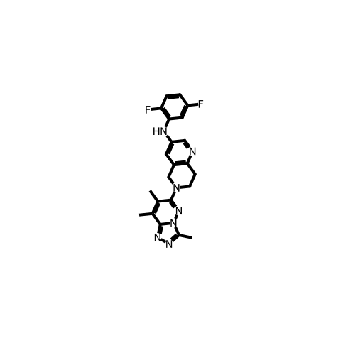 Cc1c(N2CCc3ncc(Nc4cc(F)ccc4F)cc3C2)nn2c(C)nnc2c1C